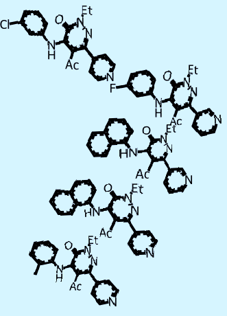 CCn1nc(-c2cccnc2)c(C(C)=O)c(Nc2cccc(F)c2)c1=O.CCn1nc(-c2cccnc2)c(C(C)=O)c(Nc2cccc3ccccc23)c1=O.CCn1nc(-c2ccncc2)c(C(C)=O)c(Nc2cccc(Cl)c2)c1=O.CCn1nc(-c2ccncc2)c(C(C)=O)c(Nc2cccc3ccccc23)c1=O.CCn1nc(-c2ccncc2)c(C(C)=O)c(Nc2ccccc2C)c1=O